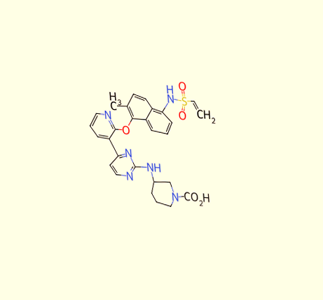 C=CS(=O)(=O)Nc1cccc2c(Oc3ncccc3-c3ccnc(NC4CCCN(C(=O)O)C4)n3)c(C)ccc12